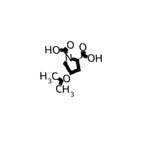 CC(C)O[C@@H]1C[C@@H](C(=O)O)N(C(=O)O)C1